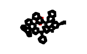 N#Cc1ccc2c(c1)sc1cc(N(c3ccccc3)c3ccc4c(c3)N(c3ccccc3)c3ccccc3C43c4ccccc4-c4ccccc43)cc(N(c3ccc4ccccc4c3)c3ccc4ccccc4c3)c12